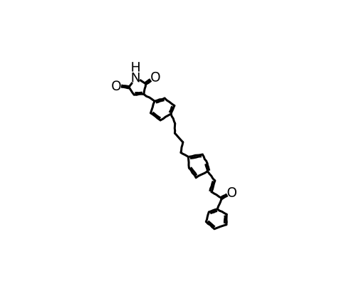 O=C1C=C(c2ccc(CCCCc3ccc(C=CC(=O)c4ccccc4)cc3)cc2)C(=O)N1